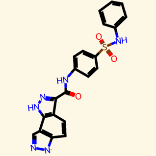 O=C(Nc1ccc(S(=O)(=O)Nc2ccccc2)cc1)c1n[nH]c2c3c(ccc12)[N]N=C3